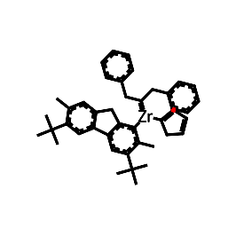 Cc1cc2c(cc1C(C)(C)C)-c1cc(C(C)(C)C)c(C)[c]([Zr]([C]3=CC=CC3)=[C](Cc3ccccc3)Cc3ccccc3)c1C2